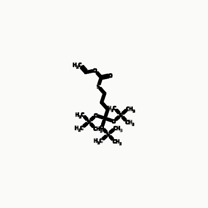 C=COC(=O)SCCC[Si](O[Si](C)(C)C)(O[Si](C)(C)C)O[Si](C)(C)C